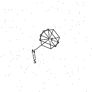 S=N[C]12[CH]3[CH]4[CH]5[CH]1[Fe]45321678[CH]2[CH]1[CH]6[CH]7[CH]28